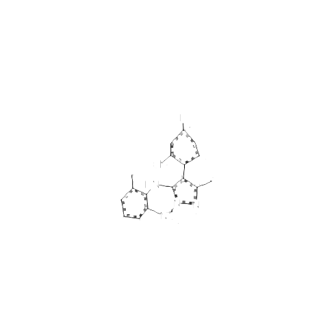 Cc1cccc([N+](=O)[O-])c1Nc1c(-c2ccc(F)cc2Cl)c(C)nn1C